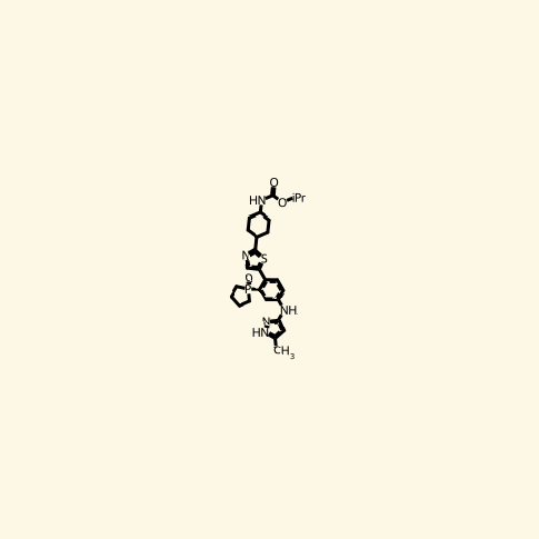 Cc1cc(Nc2ccc(-c3cnc(C4CCC(NC(=O)OC(C)C)CC4)s3)c(P3(=O)CCCC3)c2)n[nH]1